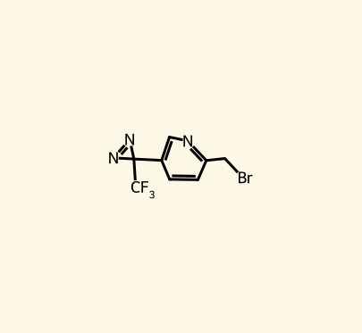 FC(F)(F)C1(c2ccc(CBr)nc2)N=N1